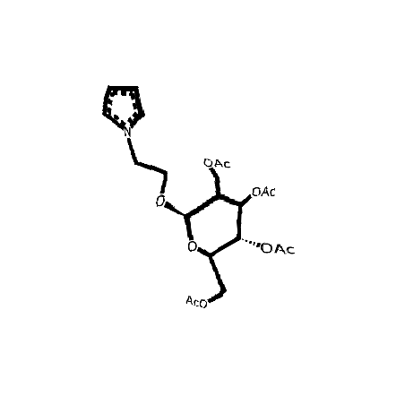 CC(=O)OCC1O[C@@H](OCCn2cccc2)C(OC(C)=O)C(OC(C)=O)[C@@H]1OC(C)=O